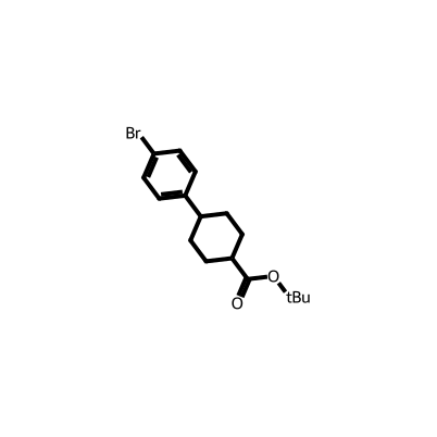 CC(C)(C)OC(=O)C1CCC(c2ccc(Br)cc2)CC1